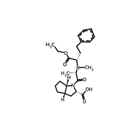 CCOC(=O)[C@H](CCc1ccccc1)N(C)[C@@H](C)C(=O)N1[C@H](C(=O)O)C[C@@H]2CCC[C@@H]21